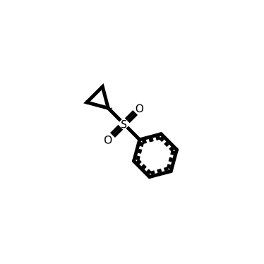 O=S(=O)([C]1CC1)c1ccccc1